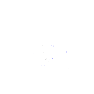 C[C@H]1CC(O)(O)[C@]23NC(=N)N[C@H]2[C@H](COC(N)=O)NC(=N)N13